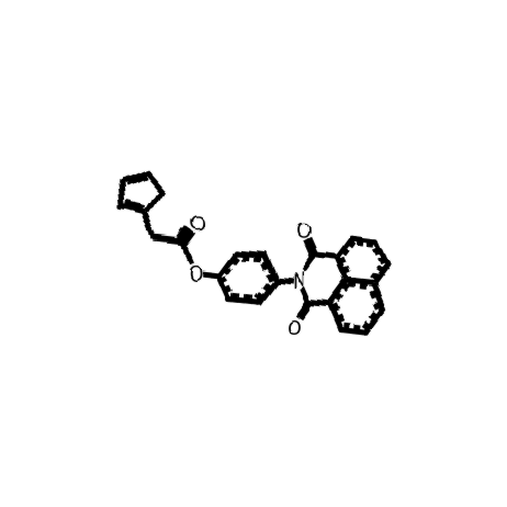 O=C(CC1=CC=CC1)Oc1ccc(N2C(=O)c3cccc4cccc(c34)C2=O)cc1